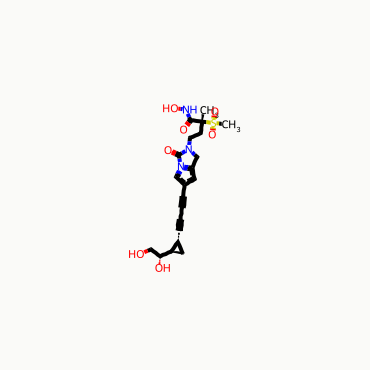 C[C@@](CCN1Cc2cc(C#CC#C[C@@H]3C[C@H]3[C@H](O)CO)cn2C1=O)(C(=O)NO)S(C)(=O)=O